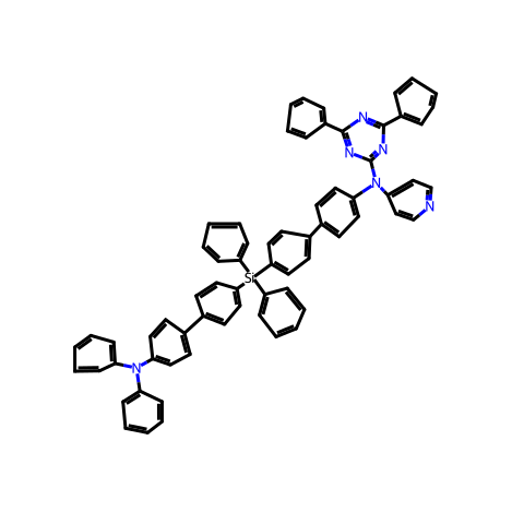 c1ccc(-c2nc(-c3ccccc3)nc(N(c3ccncc3)c3ccc(-c4ccc([Si](c5ccccc5)(c5ccccc5)c5ccc(-c6ccc(N(c7ccccc7)c7ccccc7)cc6)cc5)cc4)cc3)n2)cc1